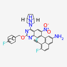 C#Cc1c(F)ccc2cc(N)cc(-c3c([N+](=O)[O-])cc4c(N5C[C@H]6CC[C@@H](C5)N6)nc(OCC56CCC(F)(CC5)CC6)nc4c3F)c12